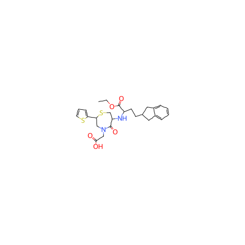 CCOC(=O)C(CCC1Cc2ccccc2C1)NC1CSC(c2cccs2)CN(CC(=O)O)C1=O